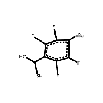 CCCCc1c(F)c(F)c(C(O)S)c(F)c1F